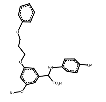 CCOc1cc(OCCCOc2ccccc2)cc(C(Nc2ccc(C#N)cc2)C(=O)O)c1